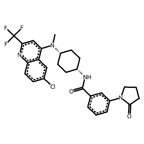 CN(c1cc(C(F)(F)F)nc2ccc(Cl)cc12)[C@H]1CC[C@@H](NC(=O)c2cccc(N3CCCC3=O)c2)CC1